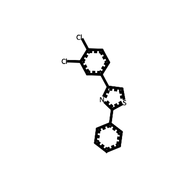 Clc1ccc(-c2csc(-c3cc[c]cc3)n2)cc1Cl